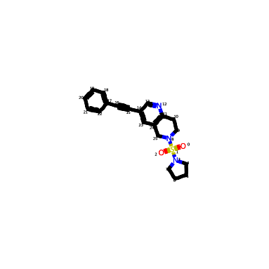 O=S(=O)(N1CCCC1)N1CCc2ncc(C#Cc3ccccc3)cc2C1